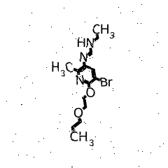 CCCOCCOc1nc(C)c(/N=C/NCC)cc1Br